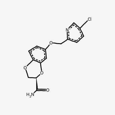 NC(=O)[C@H]1COc2ccc(OCc3ccc(Cl)cn3)cc2O1